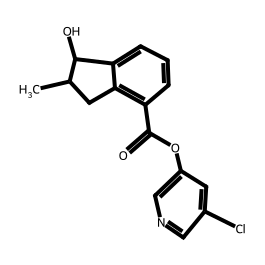 CC1Cc2c(C(=O)Oc3cncc(Cl)c3)cccc2C1O